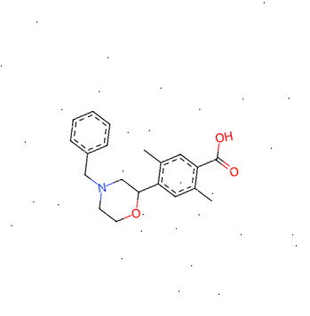 Cc1cc(C2CN(Cc3ccccc3)CCO2)c(C)cc1C(=O)O